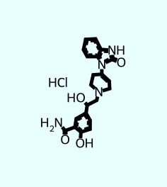 Cl.NC(=O)c1cc(C(O)CN2CC=C(n3c(=O)[nH]c4ccccc43)CC2)ccc1O